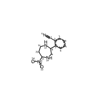 N#Cc1ccccc1C1CNC([N+](=O)[O-])CCN1